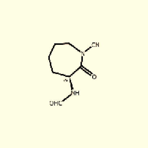 N#CN1CCCC[C@H](NC=O)C1=O